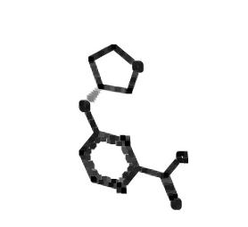 O=C(Cl)c1nccc(O[C@@H]2CCOC2)n1